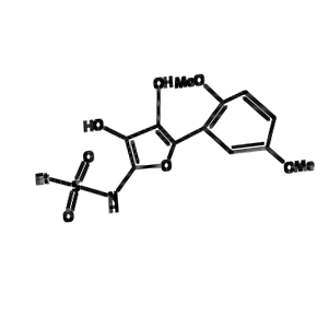 CCS(=O)(=O)Nc1oc(-c2cc(OC)ccc2OC)c(O)c1O